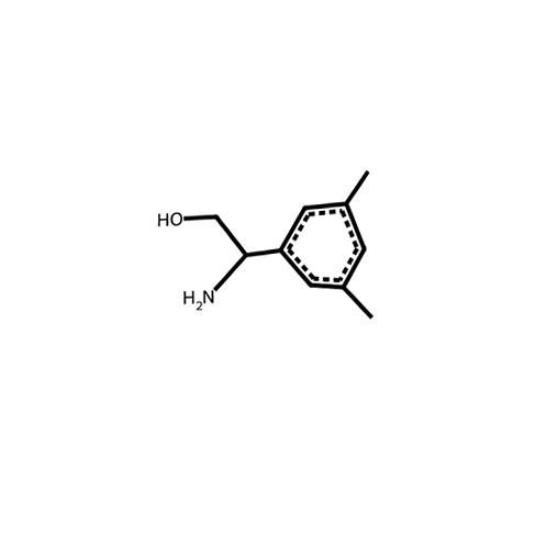 Cc1cc(C)cc(C(N)CO)c1